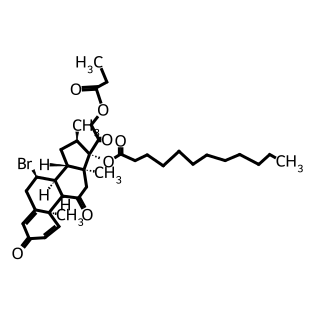 CCCCCCCCCCCC(=O)O[C@@]1(C(=O)COC(=O)CC)[C@H](C)C[C@H]2[C@@H]3[C@H](Br)CC4=CC(=O)C=C[C@]4(C)[C@H]3C(=O)C[C@@]21C